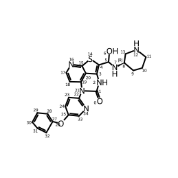 O=C1Nc2c(C(O)N[C@@H]3CCCNC3)sc3nccc(c23)N1c1ccc(Oc2ccccc2)cn1